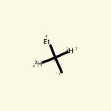 [2H]C([2H])(C)CC